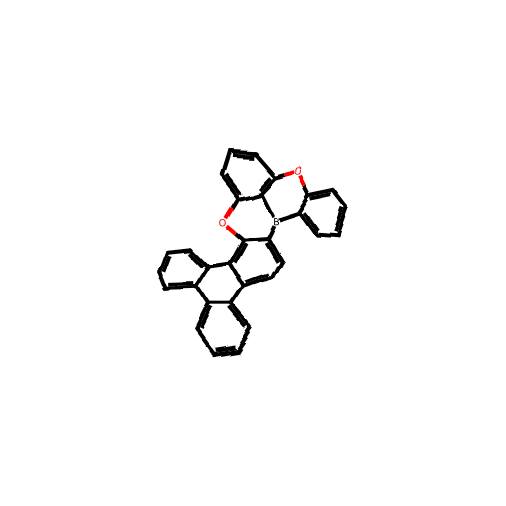 c1ccc2c(c1)Oc1cccc3c1B2c1ccc2c4ccccc4c4ccccc4c2c1O3